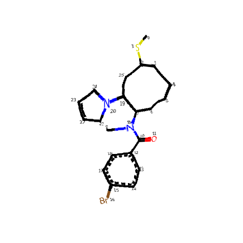 CSC1CCCCC(N(C)C(=O)c2ccc(Br)cc2)C(N2CC=CC2)C1